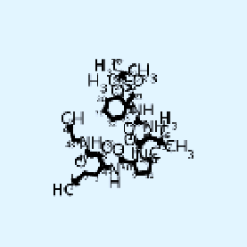 C#CCCC(NC(=O)C1CCCN1C(=O)[C@@H](NC(=O)NC1(CS(=O)(=O)C(C)(C)C)CCCCC1)C(C)(C)C)C(=O)C(=O)NCC#C